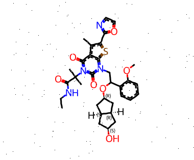 CCNC(=O)C(C)(C)n1c(=O)c2c(C)c(-c3ncco3)sc2n(CC(O[C@H]2C[C@H]3C[C@@H](O)C[C@H]3C2)c2ccccc2OC)c1=O